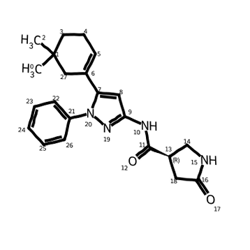 CC1(C)CCC=C(c2cc(NC(=O)[C@H]3CNC(=O)C3)nn2-c2ccccc2)C1